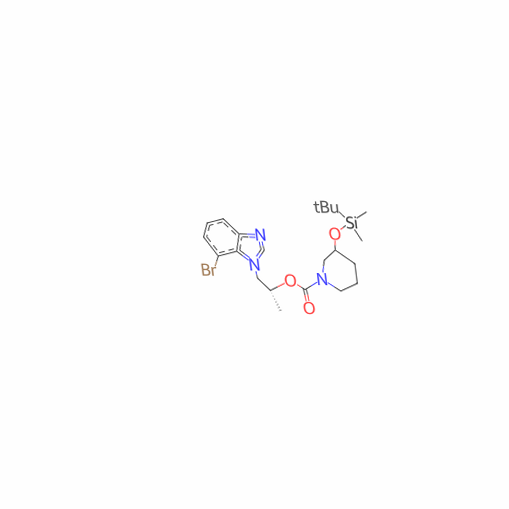 C[C@H](Cn1cnc2cccc(Br)c21)OC(=O)N1CCCC(O[Si](C)(C)C(C)(C)C)C1